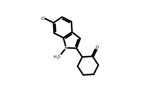 Cn1c(C2CCCCC2=O)cc2ccc(Cl)cc21